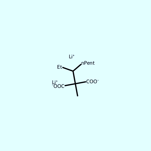 CCCCCC(CC)C(C)(C(=O)[O-])C(=O)[O-].[Li+].[Li+]